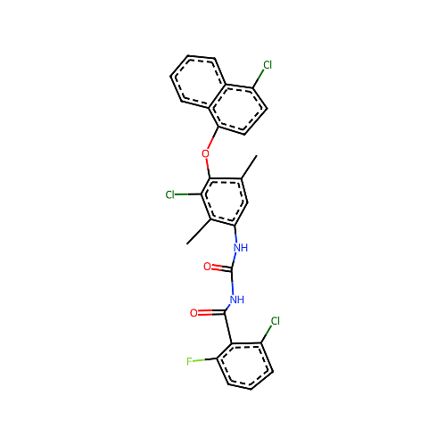 Cc1cc(NC(=O)NC(=O)c2c(F)cccc2Cl)c(C)c(Cl)c1Oc1ccc(Cl)c2ccccc12